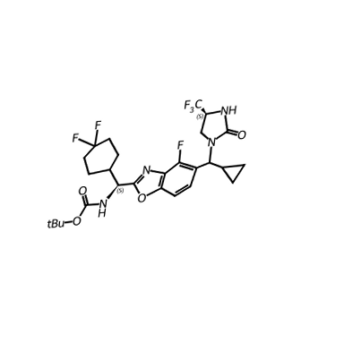 CC(C)(C)OC(=O)N[C@H](c1nc2c(F)c(C(C3CC3)N3C[C@@H](C(F)(F)F)NC3=O)ccc2o1)C1CCC(F)(F)CC1